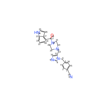 N#Cc1ccc(Cn2cncc2CN2CCN(C(=O)c3cccc4[nH]ccc34)CC2)cc1